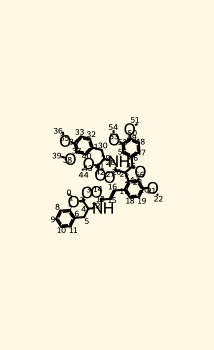 COC(=O)C(Cc1ccccc1)NC(=O)C=Cc1ccc(OC)c2c1C(C(=O)NC(Cc1ccc(OC)c(OC)c1)C(=O)OC)C(c1ccc(OC)c(OC)c1)O2